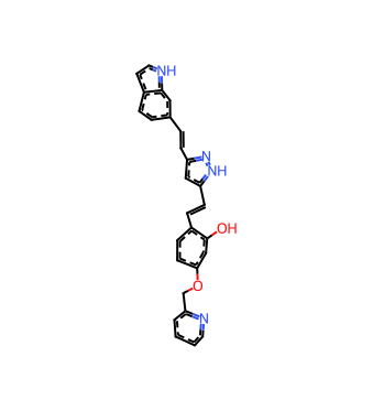 Oc1cc(OCc2ccccn2)ccc1C=Cc1cc(C=Cc2ccc3cc[nH]c3c2)n[nH]1